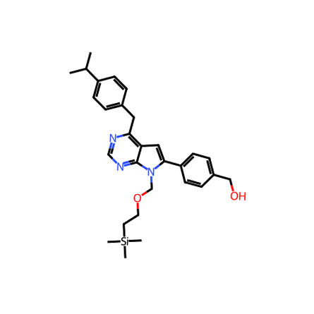 CC(C)c1ccc(Cc2ncnc3c2cc(-c2ccc(CO)cc2)n3COCC[Si](C)(C)C)cc1